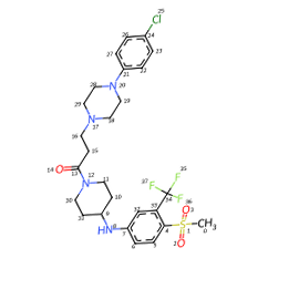 CS(=O)(=O)c1ccc(NC2CCN(C(=O)CCN3CCN(c4ccc(Cl)cc4)CC3)CC2)cc1C(F)(F)F